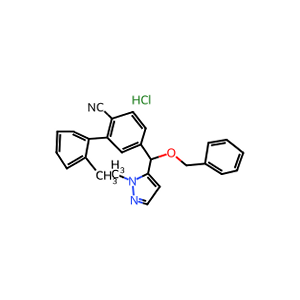 Cc1ccccc1-c1cc(C(OCc2ccccc2)c2ccnn2C)ccc1C#N.Cl